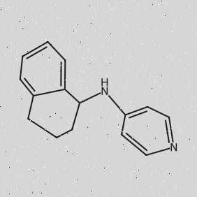 c1ccc2c(c1)CCCC2Nc1ccncc1